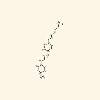 CCCCCCCC1CCC(OCCC[C@H]2CC[C@H](C)CC2)CC1